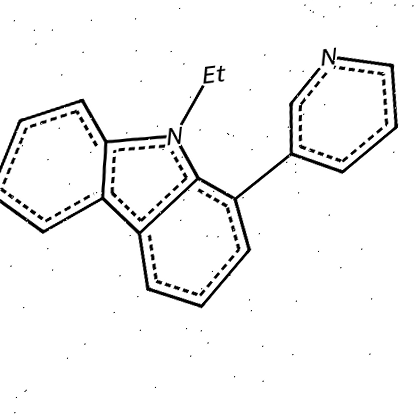 CCn1c2ccccc2c2cccc(-c3cccnc3)c21